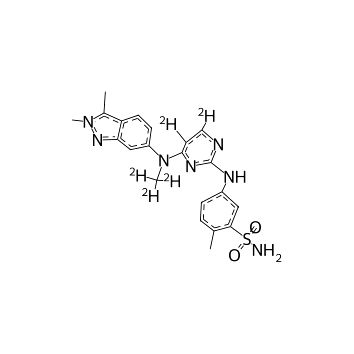 [2H]c1nc(Nc2ccc(C)c(S(N)(=O)=O)c2)nc(N(c2ccc3c(C)n(C)nc3c2)C([2H])([2H])[2H])c1[2H]